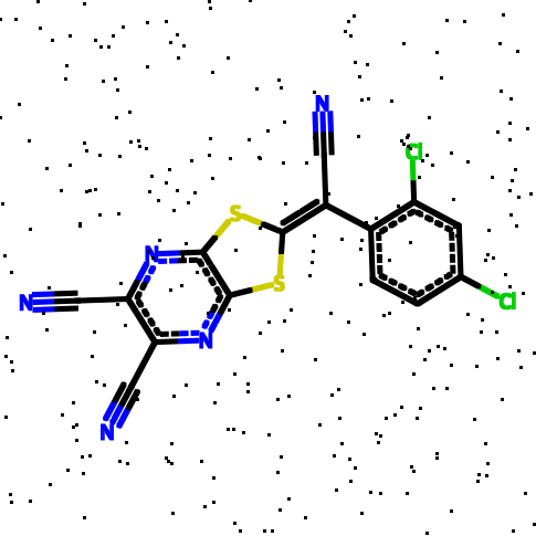 N#CC(=C1Sc2nc(C#N)c(C#N)nc2S1)c1ccc(Cl)cc1Cl